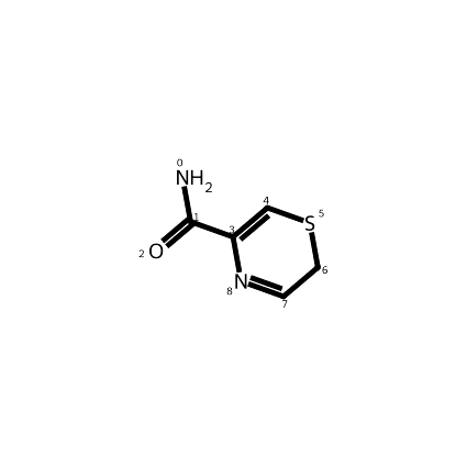 NC(=O)C1=CSCC=N1